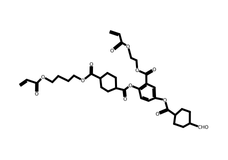 C=CC(=O)OCCCCOC(=O)C1CCC(C(=O)Oc2ccc(OC(=O)C3CCC(C=O)CC3)cc2C(=O)OCCOC(=O)C=C)CC1